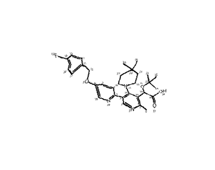 Cc1ncc(-c2ccc(OCc3ccc(F)cc3)cn2)c(N2CCC(C)(C)CC2)c1C(OC(C)(C)C)C(=O)O